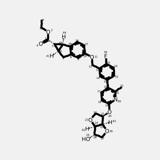 CCOC(=O)[C@H]1[C@@H]2Cc3cc(OCc4cc(-c5ccc(O[C@@H]6CO[C@H]7[C@@H]6OC[C@@H]7O)nc5C)ccc4F)ccc3[C@@H]21